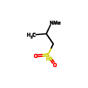 CNC(C)C[SH](=O)=O